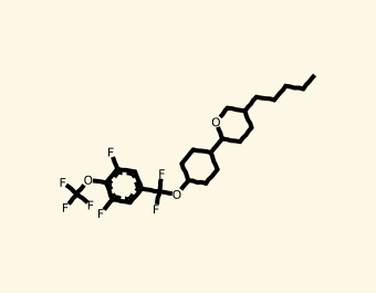 CCCCCC1CCC(C2CCC(OC(F)(F)c3cc(F)c(OC(F)(F)F)c(F)c3)CC2)OC1